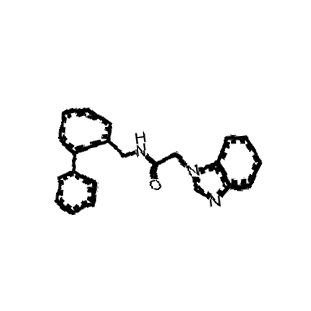 O=C(Cn1cnc2ccccc21)NCc1ccccc1-c1ccccc1